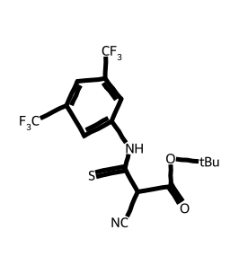 CC(C)(C)OC(=O)C(C#N)C(=S)Nc1cc(C(F)(F)F)cc(C(F)(F)F)c1